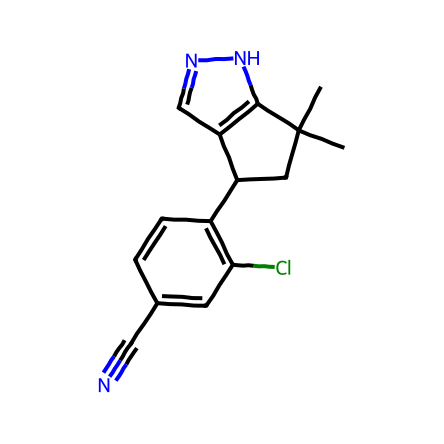 CC1(C)CC(c2ccc(C#N)cc2Cl)c2cn[nH]c21